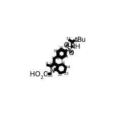 Cc1c(Cc2ccc(S(=O)(=O)NC(C)C(C)(C)C)cc2)c2c(n1CC(=O)O)CCCC2